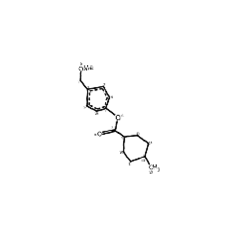 COCc1ccc(OC(=O)C2CCC(C)CC2)cc1